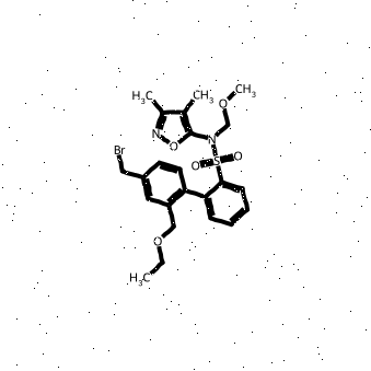 CCOCc1cc(CBr)ccc1-c1ccccc1S(=O)(=O)N(COC)c1onc(C)c1C